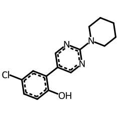 Oc1ccc(Cl)cc1-c1cnc(N2CCCCC2)nc1